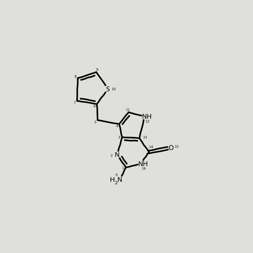 Nc1nc2c(Cc3cccs3)c[nH]c2c(=O)[nH]1